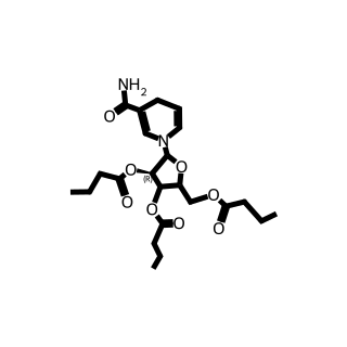 CCCC(=O)OCC1OC(N2C=CCC(C(N)=O)=C2)[C@H](OC(=O)CCC)C1OC(=O)CCC